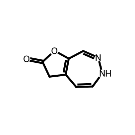 O=C1CC2=C(C=NNC=C2)O1